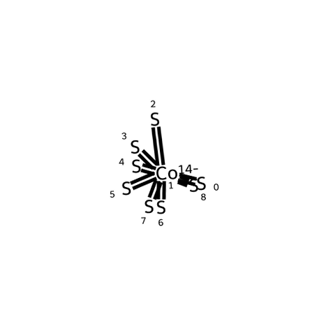 [S]=[Co-14](=[S])(=[S])(=[S])(=[S])(=[S])(=[S])=[S]